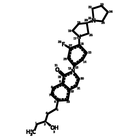 CC[C@H](O)CCc1ccc2c(=O)n(-c3ccc(N4CC[C@@H](N5CCCC5)C4)c(F)c3)ccc2c1